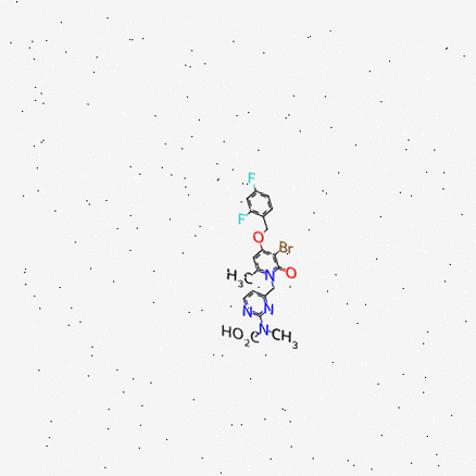 Cc1cc(OCc2ccc(F)cc2F)c(Br)c(=O)n1Cc1ccnc(N(C)C(=O)O)n1